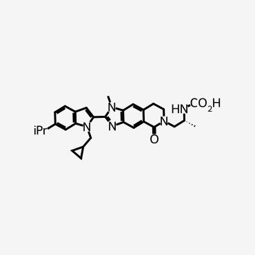 CC(C)c1ccc2cc(-c3nc4cc5c(cc4n3C)CCN(C[C@@H](C)NC(=O)O)C5=O)n(CC3CC3)c2c1